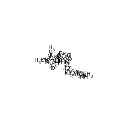 CCc1nc2c(cnn2CC)c(NC2CCOCC2)c1CNS(=O)(=O)c1cc(C(=O)NCc2ccc(F)c(-c3cccc(CN4CCN[C@@H](C)C4)c3)c2)c(Cl)cc1F